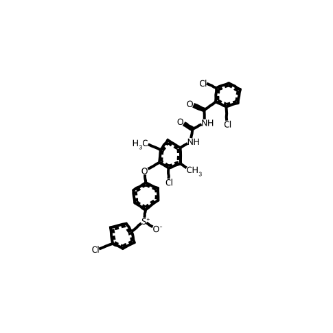 Cc1cc(NC(=O)NC(=O)c2c(Cl)cccc2Cl)c(C)c(Cl)c1Oc1ccc([S+]([O-])c2ccc(Cl)cc2)cc1